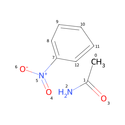 CC(N)=O.O=[N+]([O-])c1ccccc1